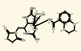 N=C1NC2C(CN3C(=O)CCC3=O)NC(=N)N3CC(NC(=O)c4cccc5c4OCCO5)C(O)(O)C23N1